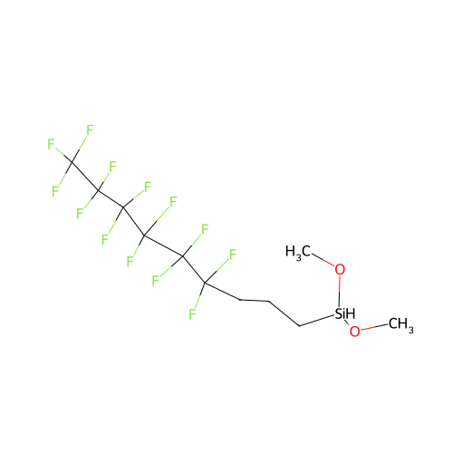 CO[SiH](CCCC(F)(F)C(F)(F)C(F)(F)C(F)(F)C(F)(F)C(F)(F)F)OC